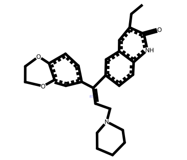 CCc1cc2cc(/C(=C\CN3CCCCC3)c3ccc4c(c3)OCCO4)ccc2[nH]c1=O